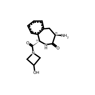 N[C@@H]1Cc2ccccc2[C@@H](C(=O)N2CC(O)C2)NC1=O